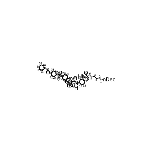 CCCCCCCCCCCCCCCCS(=O)(=O)Nc1cccc(NC(=O)C(Cl)(Oc2ccc(S(=O)(=O)c3ccc(OCc4ccccc4)cc3)cc2)C(=O)C(C)(C)C)c1